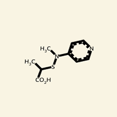 CC(SN(C)c1ccncc1)C(=O)O